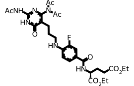 CCOC(=O)CC[C@H](NC(=O)c1ccc(NCCCc2c(N(C(C)=O)C(C)=O)nc(NC(C)=O)[nH]c2=O)c(F)c1)C(=O)OCC